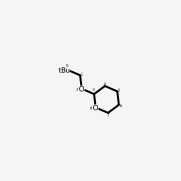 CC(C)(C)COC1CCCCO1